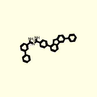 N=C(/N=C(\N)c1cccc(-c2ccccc2)c1)c1ccc(-c2cccc3c2Cc2ccc(-c4ccccc4)cc2-3)cc1